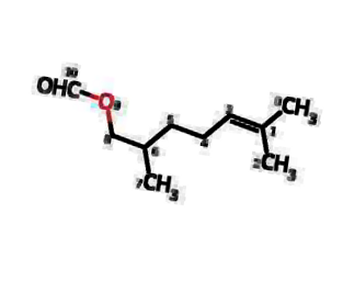 CC(C)=CCCC(C)COC=O